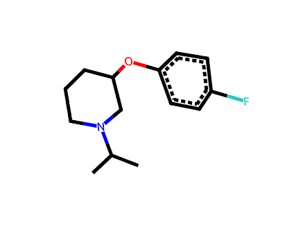 CC(C)N1CCCC(Oc2ccc(F)cc2)C1